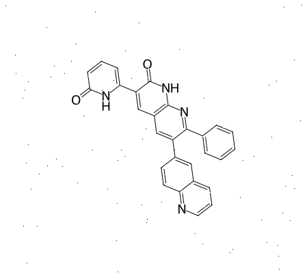 O=c1cccc(-c2cc3cc(-c4ccc5ncccc5c4)c(-c4ccccc4)nc3[nH]c2=O)[nH]1